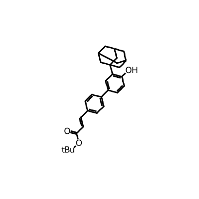 CC(C)(C)OC(=O)/C=C/c1ccc(-c2ccc(O)c(C34CC5CC(CC(C5)C3)C4)c2)cc1